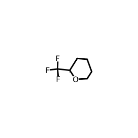 FC(F)(F)[C]1CCCCO1